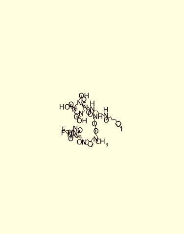 CN(CCOCCOCCNC(=O)C(CCCCNC(=O)CCCc1ccc(I)cc1)NC(=O)CN1CCN(CC(=O)O)CCN(CC(=O)O)CCN(CC(=O)O)CC1)Cc1cccc2c1CN(C(=O)C[C@@H]1C[C@@H](C(=O)N3CC(F)(F)C[C@H]3C#N)NC1=O)C2